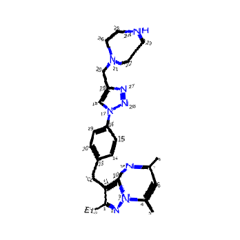 CCc1nn2c(C)cc(C)nc2c1Cc1ccc(-n2cc(CN3CCNCC3)nn2)cc1